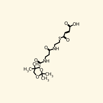 CC1(C)OCC(C)(C)[C@H](C(=O)NCCC(=O)NCCSC(=O)/C=C/C(=O)O)O1